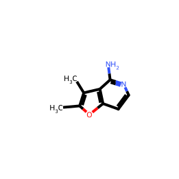 Cc1oc2ccnc(N)c2c1C